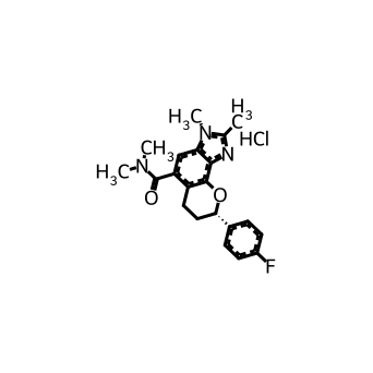 Cc1nc2c3c(c(C(=O)N(C)C)cc2n1C)CC[C@@H](c1ccc(F)cc1)O3.Cl